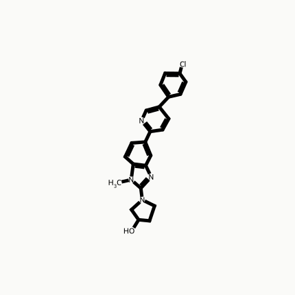 Cn1c(N2CCC(O)C2)nc2cc(-c3ccc(-c4ccc(Cl)cc4)cn3)ccc21